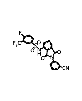 N#Cc1cccc(N2C(=O)c3cccc(NS(=O)(=O)c4ccc(F)c(C(F)(F)F)c4)c3C2=O)c1